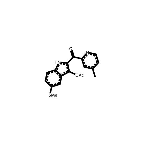 CSc1ccc2[nH]c(C(=O)c3cc(C)ccn3)c(OC(C)=O)c2c1